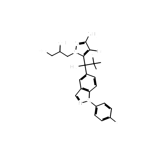 Nc1nn(CC(O)CO)c(C(O)(c2ccc3c(cnn3-c3ccc(F)cc3)c2)C(F)(F)F)c1Br